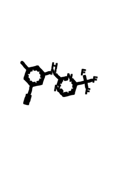 C#Cc1cc(C)cc(Nc2nccc(C(F)(F)F)n2)c1